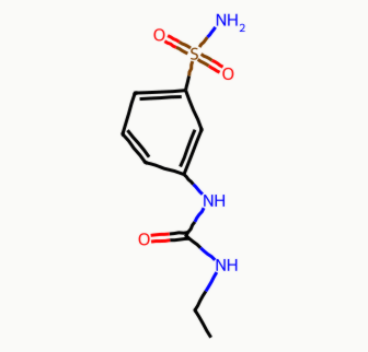 CCNC(=O)Nc1cccc(S(N)(=O)=O)c1